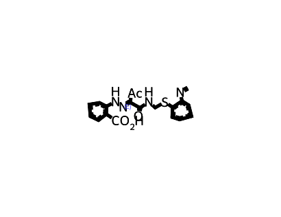 C=Nc1ccccc1SCNC(=O)/C(=N/Nc1ccccc1C(=O)O)C(C)=O